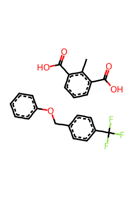 Cc1c(C(=O)O)cccc1C(=O)O.FC(F)(F)c1ccc(COc2ccccc2)cc1